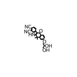 CC1(C)c2cc(OC[C@@H](O)CO)ccc2C(=O)c2c1[nH]c1c(C#N)c(C#N)ccc21